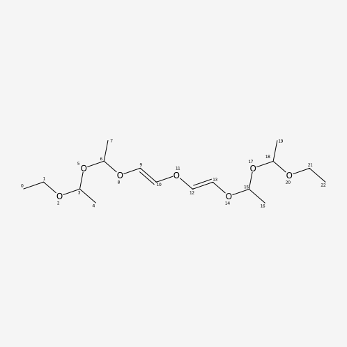 CCOC(C)OC(C)OC=COC=COC(C)OC(C)OCC